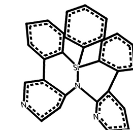 c1ccc([Si]23c4ccccc4-c4cnccc4N2c2ncccc2-c2ccccc23)cc1